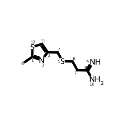 Cc1nc(CSCCC(=N)N)cs1